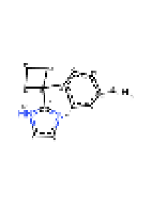 Cc1ccc(C2(c3ncc[nH]3)CCC2)cc1